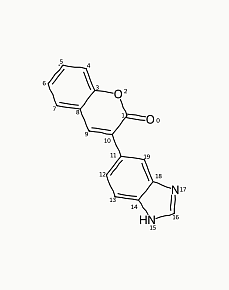 O=c1oc2c[c]ccc2cc1-c1ccc2[nH]cnc2c1